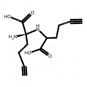 C#CCCC(N[C@](N)(CCC#C)C(=O)O)C(=O)O